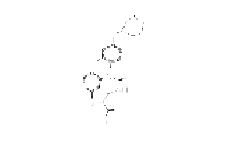 Cc1cc(OC2CCOCC2)ccc1N1C(=O)NC2c3c1ccnc3SC2C(=O)O